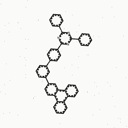 c1ccc(-c2nc(-c3ccccc3)nc(-c3ccc(-c4cccc(-c5ccc6c7ccccc7c7ccccc7c6c5)c4)cc3)n2)cc1